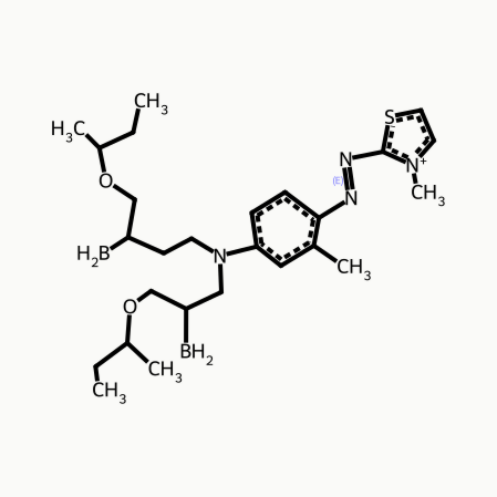 BC(CCN(CC(B)COC(C)CC)c1ccc(/N=N/c2scc[n+]2C)c(C)c1)COC(C)CC